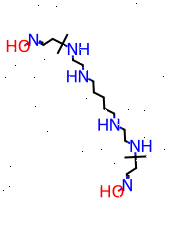 CC(C)(CC=NO)NCCNCCCCCNCCNC(C)(C)CC=NO